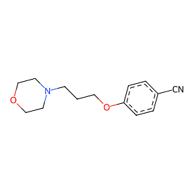 N#Cc1ccc(OCCCN2CCOCC2)cc1